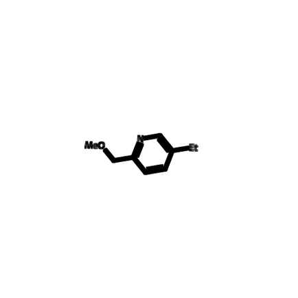 CCc1ccc(COC)nc1